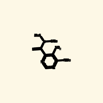 CNc1ncnc(C(=S)N(SC)SC)c1[N+](=O)[O-]